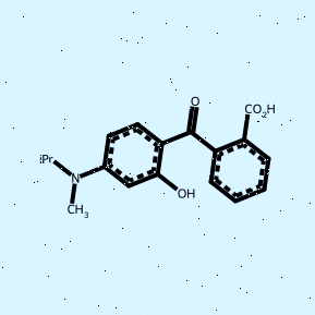 CC(C)N(C)c1ccc(C(=O)c2ccccc2C(=O)O)c(O)c1